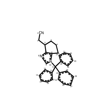 N#CCC1CCCc2c1ncn2C(c1ccccc1)(c1ccccc1)c1ccccc1